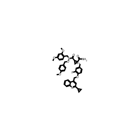 COc1ccc(CON(Cc2ccc(OC)cc2OC)C(=O)C2C[C@]2(Cc2ccc(OCc3cc(C4CC4)nc4ccccc34)c(F)c2)C(N)=O)cc1